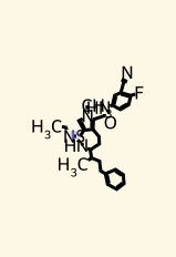 CC/N=S1/NC(C(C)CCc2ccccc2)CCc2c1cn(C)c2C(=O)Nc1ccc(F)c(C#N)c1